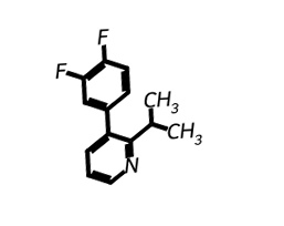 CC(C)c1ncccc1-c1ccc(F)c(F)c1